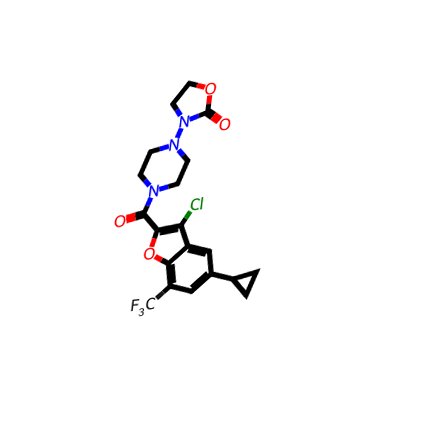 O=C(c1oc2c(C(F)(F)F)cc(C3CC3)cc2c1Cl)N1CCN(N2CCOC2=O)CC1